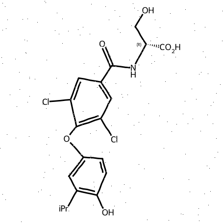 CC(C)c1cc(Oc2c(Cl)cc(C(=O)N[C@H](CO)C(=O)O)cc2Cl)ccc1O